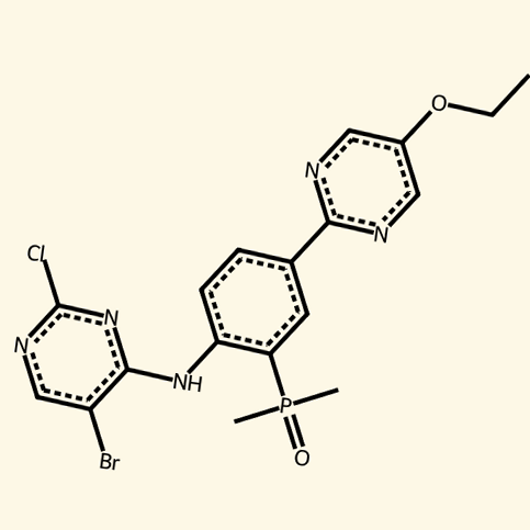 CCOc1cnc(-c2ccc(Nc3nc(Cl)ncc3Br)c(P(C)(C)=O)c2)nc1